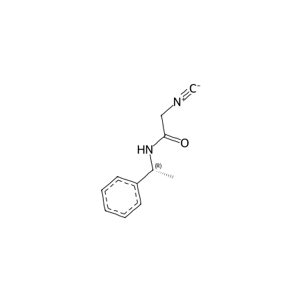 [C-]#[N+]CC(=O)N[C@H](C)c1ccccc1